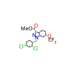 COC(=O)c1nn(Cc2ccc(Cl)cc2Cl)c2cc(OC(F)(F)F)ccc12